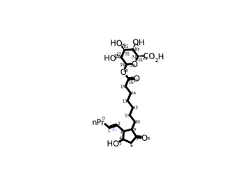 CCC/C=C/C1C(O)CC(=O)C1CCCCCCC(=O)OC1O[C@H](C(=O)O)[C@@H](O)[C@H](O)[C@H]1O